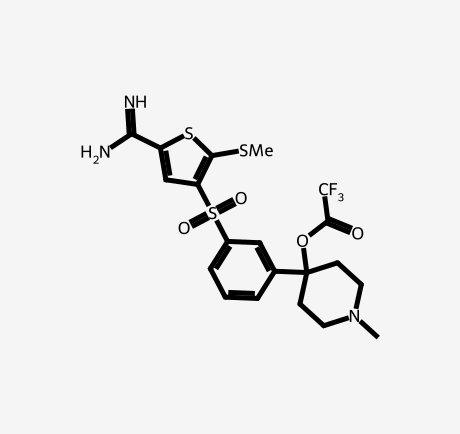 CSc1sc(C(=N)N)cc1S(=O)(=O)c1cccc(C2(OC(=O)C(F)(F)F)CCN(C)CC2)c1